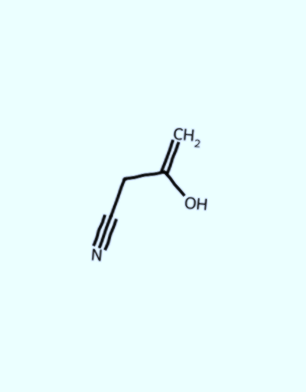 C=C(O)CC#N